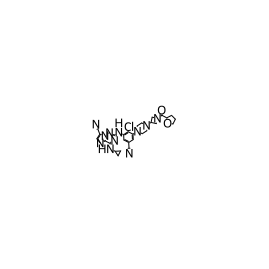 N#Cc1cc(Nc2nc(NC3CC3)c3ncc(C#N)n3n2)c(Cl)c(N2CCN(C3CN(C(=O)C4CCCO4)C3)CC2)c1